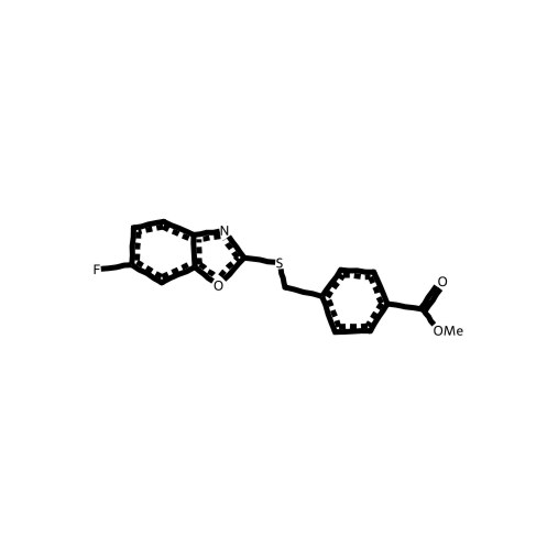 COC(=O)c1ccc(CSc2nc3ccc(F)cc3o2)cc1